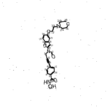 O=CN(CC#Cc1ccc(C(=O)NO)cc1)c1cc2cc(OCCN3CCOCC3)ccc2o1